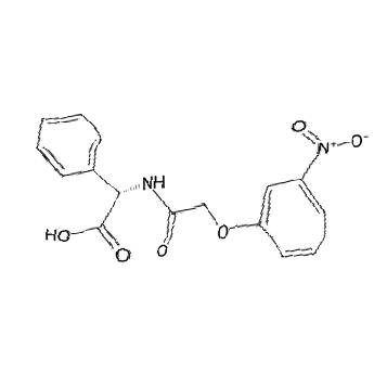 O=C(COc1cccc([N+](=O)[O-])c1)N[C@H](C(=O)O)c1ccccc1